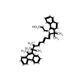 C=C(/C=C/C=C/C=C1\N(CCC(=O)O)c2c(ccc3ccccc23)C1(C)C)C(C)(C)c1c(C)c2ccccc2c2ccccc12